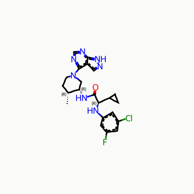 C[C@@H]1CCN(c2ncnc3[nH]ncc23)C[C@@H]1NC(=O)[C@H](Nc1cc(F)cc(Cl)c1)C1CC1